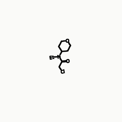 CCN(C(=O)CCl)C1CCOCC1